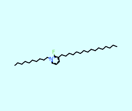 CCCCCCCCCCCCCCCCc1ccc[n+](CCCCCCCCCC)c1F